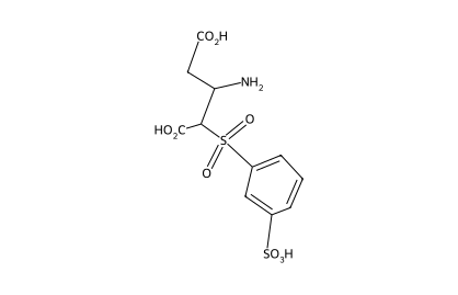 NC(CC(=O)O)C(C(=O)O)S(=O)(=O)c1cccc(S(=O)(=O)O)c1